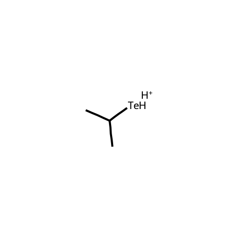 CC(C)[TeH].[H+]